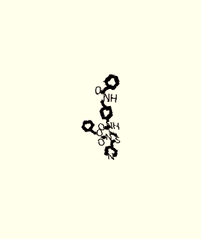 O=C(NCc1ccc(NC(=O)[C@@H]2CSC(c3ccncc3)N2C(=O)OCc2ccccc2)cc1)c1ccccc1